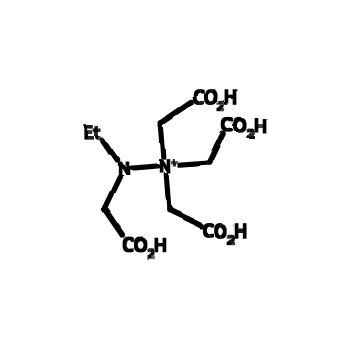 CCN(CC(=O)O)[N+](CC(=O)O)(CC(=O)O)CC(=O)O